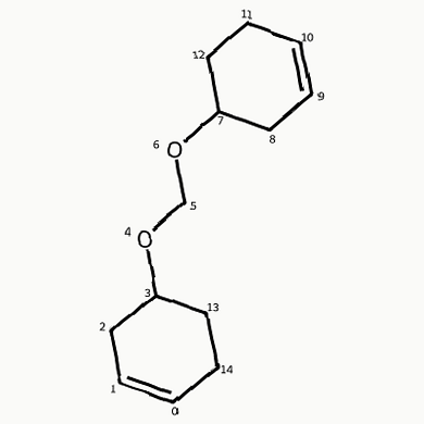 C1=CCC(OCOC2CC=CCC2)CC1